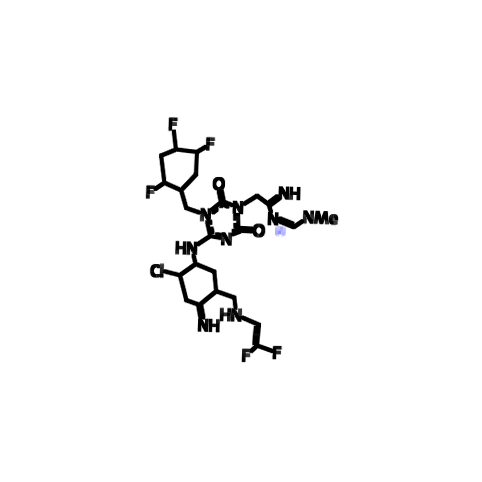 CN/C=N\C(=N)Cn1c(=O)nc(NC2CC(CNC=C(F)F)C(=N)CC2Cl)n(CC2CC(F)C(F)CC2F)c1=O